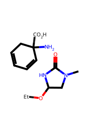 CCOC1CN(C)C(=O)N1.NC1(C(=O)O)C=CC=CC1